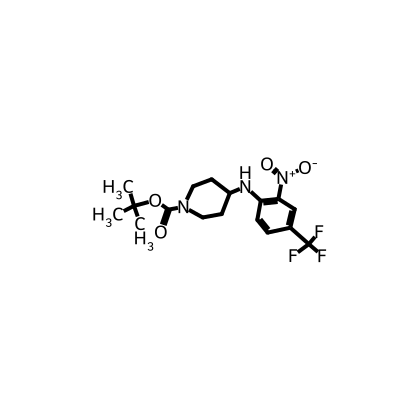 CC(C)(C)OC(=O)N1CCC(Nc2ccc(C(F)(F)F)cc2[N+](=O)[O-])CC1